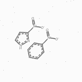 O=[N+]([O-])c1cc[c]cc1.O=[N+]([O-])c1cc[nH]n1